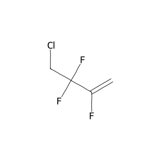 C=C(F)C(F)(F)CCl